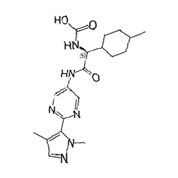 Cc1cnn(C)c1-c1ncc(NC(=O)[C@@H](NC(=O)O)C2CCC(C)CC2)cn1